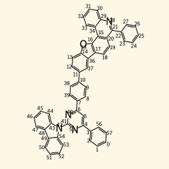 c1ccc(-c2cc(-c3ccc(-c4ccc5oc6c(ccc7c(-c8ccccc8)nc8ccccc8c76)c5c4)cc3)nc(-n3c4ccccc4c4ccccc43)n2)cc1